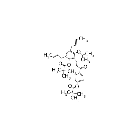 CC=CCc1cc(CC=CC)c(OC(C)C)c(C=CC(=O)c2ccc(OC(=O)C(C)(C)C)cc2)c1OC(=O)C(C)(C)C